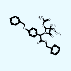 CSC1(N)C(=O)N(C(C(=O)OCc2ccccc2)c2ccc(OCc3ccccc3)cc2)C1OC(C)=O